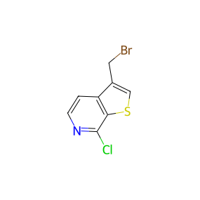 Clc1nccc2c(CBr)csc12